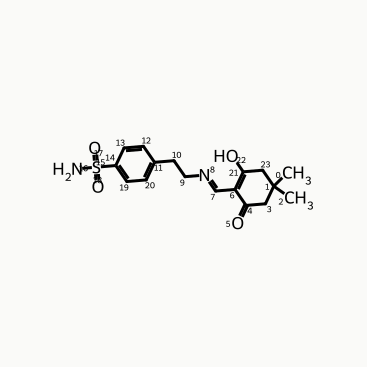 CC1(C)CC(=O)C(/C=N/CCc2ccc(S(N)(=O)=O)cc2)=C(O)C1